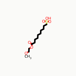 COCCOC(=O)CCCCCCCCCS(=O)(=O)O